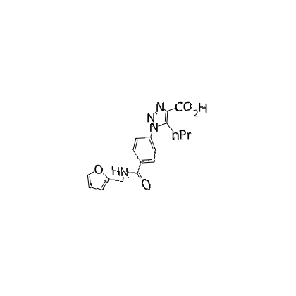 CCCc1c(C(=O)O)nnn1-c1ccc(C(=O)NCc2ccco2)cc1